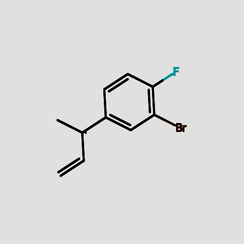 C=C[C](C)c1ccc(F)c(Br)c1